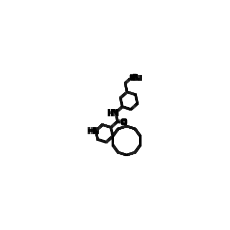 CC(C)(C)CC1CCCC(NC(=O)C2CNCCC23CCCCCCCCC3)C1